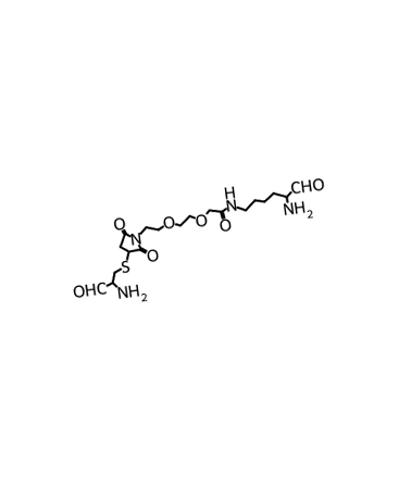 NC(C=O)CCCCNC(=O)COCCOCCN1C(=O)CC(SCC(N)C=O)C1=O